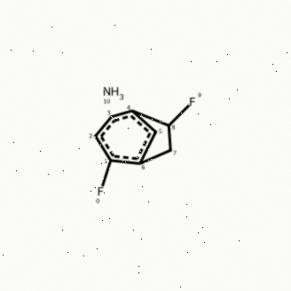 Fc1ccc2cc1CC2F.N